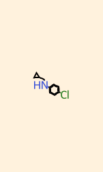 Clc1ccc(NCC2CC2)cc1